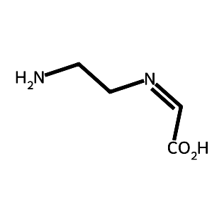 NCC/N=C\C(=O)O